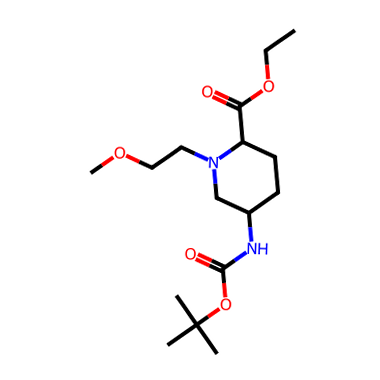 CCOC(=O)C1CCC(NC(=O)OC(C)(C)C)CN1CCOC